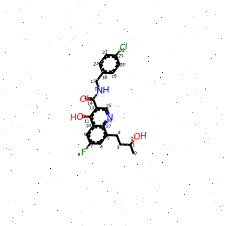 CC(O)CCc1cc(F)cc2c(O)c(C(=O)NCc3ccc(Cl)cc3)cnc12